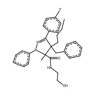 CCCCC1(Cc2ccccc2)C(c2ccc(F)cc2)=NN(c2ccccc2)C1(C)C(=O)NCCO